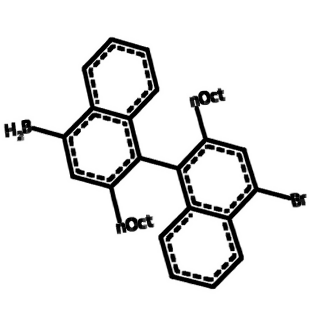 Bc1cc(CCCCCCCC)c(-c2c(CCCCCCCC)cc(Br)c3ccccc23)c2ccccc12